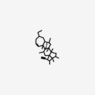 C#CC(C)C1(C)C(C)CC2(C)C1(C)CC(C)C1(F)C3(C)C=CCC(CC)CC3C(C)CC21C